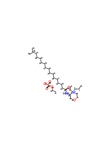 CCC[N+]1(CC)CCOCC1NC(=O)CCCCCCCCCCCCCCC(C)C.CCOS(=O)(=O)[O-]